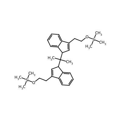 CC(C)(C1C=C(CCO[Si](C)(C)C)c2ccccc21)C1C=C(CCO[Si](C)(C)C)c2ccccc21